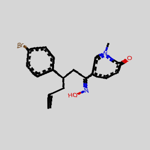 C=CCC(CC(=NO)c1ccc(=O)n(C)c1)c1ccc(Br)cc1